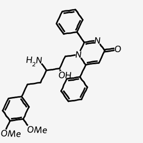 COc1ccc(CCC(N)[C@@H](O)Cn2c(-c3ccccc3)cc(=O)nc2-c2ccccc2)cc1OC